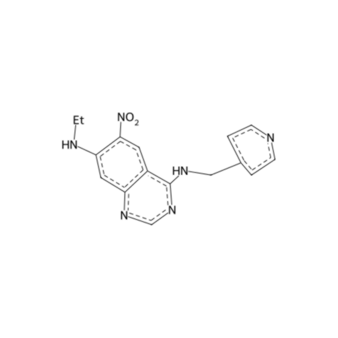 CCNc1cc2ncnc(NCc3ccncc3)c2cc1[N+](=O)[O-]